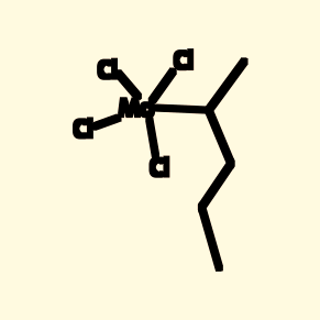 CCC[CH](C)[Mo]([Cl])([Cl])([Cl])[Cl]